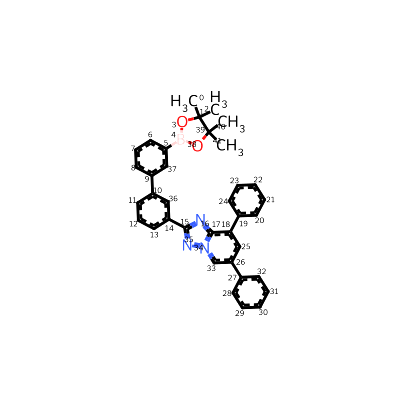 CC1(C)OB(c2cccc(-c3cccc(-c4nc5c(-c6ccccc6)cc(-c6ccccc6)cn5n4)c3)c2)OC1(C)C